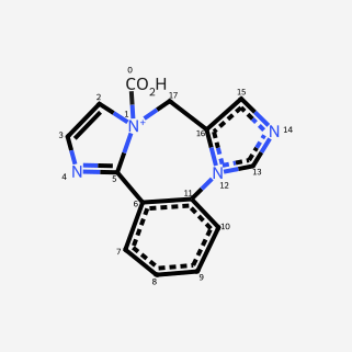 O=C(O)[N+]12C=CN=C1c1ccccc1-n1cncc1C2